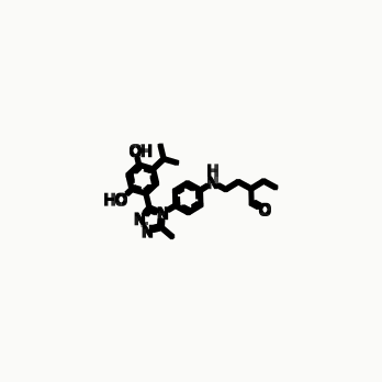 CCC(C=O)CCNc1ccc(-n2c(C)nnc2-c2cc(C(C)C)c(O)cc2O)cc1